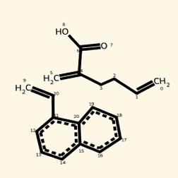 C=CCCC(=C)C(=O)O.C=Cc1cccc2ccccc12